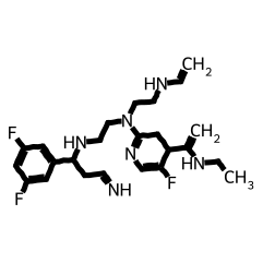 C=CNCCN(CCNC(CC=N)c1cc(F)cc(F)c1)C1=NC=C(F)C(C(=C)NCC)C1